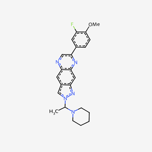 COc1ccc(-c2cnc3cc4cn(C(C)N5CCCCC5)nc4cc3n2)cc1F